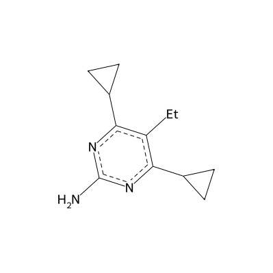 CCc1c(C2CC2)nc(N)nc1C1CC1